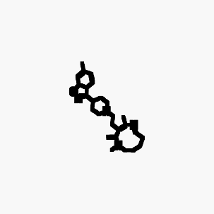 C=C1/C(CCN2CCC(C3=NOC4C=C(C)C=CC34)CC2)=C(C)\N=C\CCCCN1C